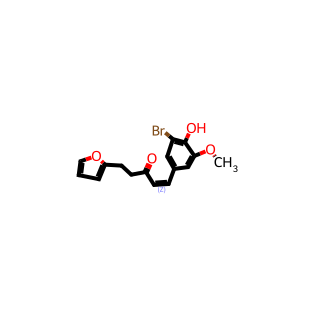 COc1cc(/C=C\C(=O)CCc2ccco2)cc(Br)c1O